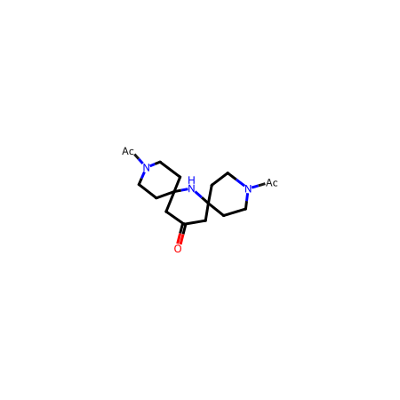 CC(=O)N1CCC2(CC1)CC(=O)CC1(CCN(C(C)=O)CC1)N2